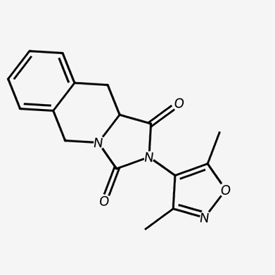 Cc1noc(C)c1N1C(=O)C2Cc3ccccc3CN2C1=O